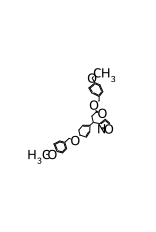 COc1ccc(COC(=O)CC(C2=CCC(OCc3ccc(OC)cc3)C=C2)c2ccon2)cc1